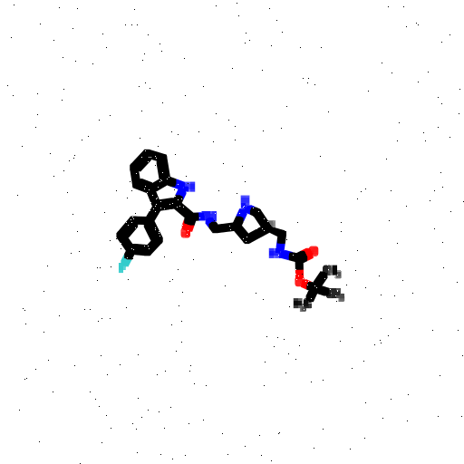 CC(C)(C)OC(=O)NC[C@@H]1CNC(CNC(=O)c2[nH]c3ccccc3c2-c2ccc(F)cc2)C1